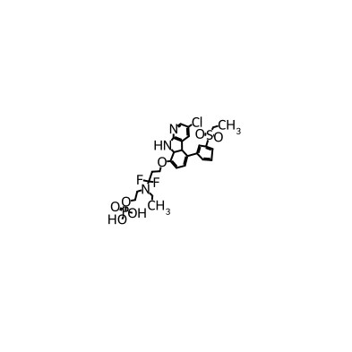 CCN(CCOP(=O)(O)O)C(F)(F)CCOC1=CC=C(c2cccc(S(=O)(=O)CC)c2)C2c3cc(Cl)cnc3NC12